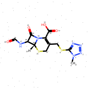 Cn1nnnc1SCC1=C(C(=O)O)N2C(=O)C(NC=O)[C@H]2SC1